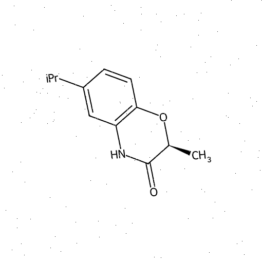 CC(C)c1ccc2c(c1)NC(=O)[C@H](C)O2